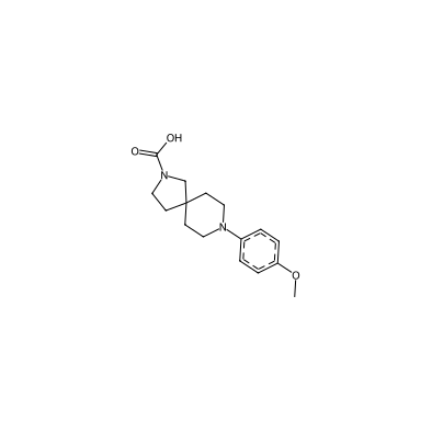 COc1ccc(N2CCC3(CCN(C(=O)O)C3)CC2)cc1